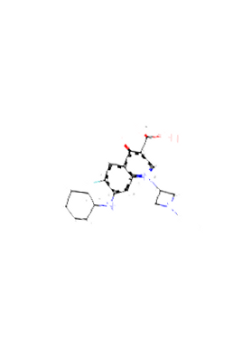 CN1CC(n2cc(C(=O)O)c(=O)c3cc(F)c(NC4CCCCC4)cc32)C1